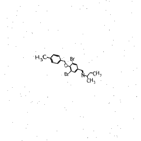 CCC(C)/N=C/c1cc(Br)c(OCc2ccc(C)cc2)c(Br)c1